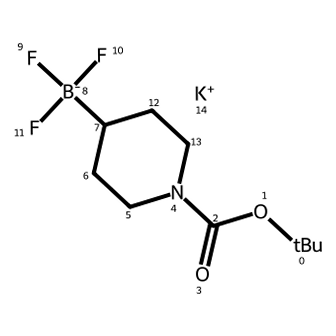 CC(C)(C)OC(=O)N1CCC([B-](F)(F)F)CC1.[K+]